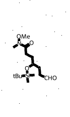 CON(C)C(=O)CCC(CCC=O)O[Si](C)(C)C(C)(C)C